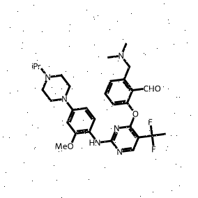 COc1cc(N2CCN(C(C)C)CC2)ccc1Nc1ncc(C(C)(F)F)c(Oc2cccc(CN(C)C)c2C=O)n1